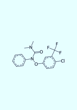 CN(C)C(=O)N(Oc1ccc(Cl)c(C(F)(F)F)c1)c1ccccc1